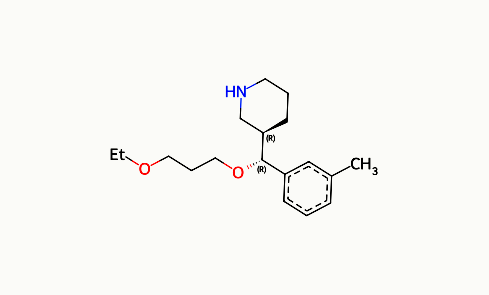 CCOCCCO[C@@H](c1cccc(C)c1)[C@@H]1CCCNC1